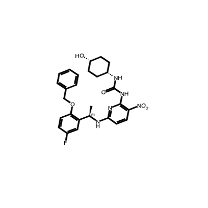 C[C@@H](Nc1ccc([N+](=O)[O-])c(NC(=O)N[C@H]2CC[C@@H](O)CC2)n1)c1cc(F)ccc1OCc1ccccc1